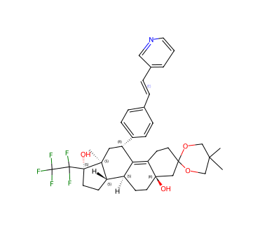 CC1(C)COC2(CCC3=C4[C@@H](CC[C@@]3(O)C2)[C@@H]2CC[C@@](O)(C(F)(F)C(F)(F)F)[C@@]2(C)C[C@@H]4c2ccc(/C=C/c3cccnc3)cc2)OC1